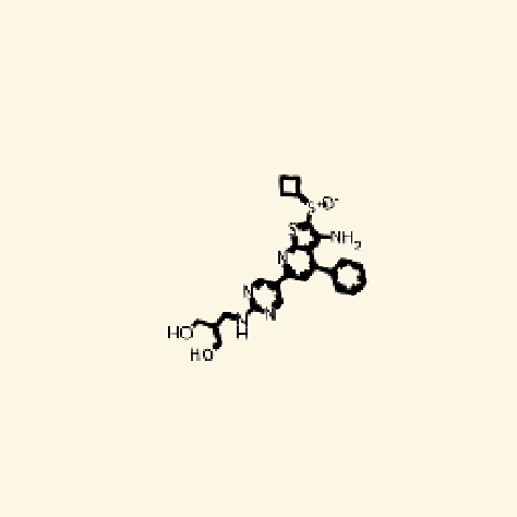 Nc1c([S+]([O-])C2CCC2)sc2nc(-c3cnc(NCC(CO)CO)nc3)cc(-c3ccccc3)c12